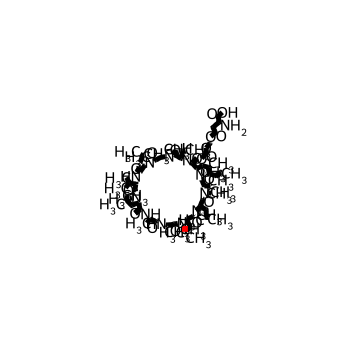 C/C=C/C[C@@H](C)C(OC(=O)OCOC(=O)C[C@@H](N)C(=O)O)C1C(=O)NC(CC)C(=O)N(C)CC(=O)N(C)[C@@H](CC(C)C)C(=O)NC(C(C)C)C(=O)N(C)C(CC(C)C)C(=O)NC(C)C(=O)NC(C)C(=O)N(C)C(CC(C)C)C(=O)N(C)C(CC(C)C)C(=O)N(C)C(C(C)C)C(=O)N1C